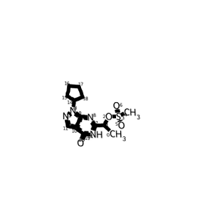 CC(OS(C)(=O)=O)c1nc2c(cnn2C2CCCC2)c(=O)[nH]1